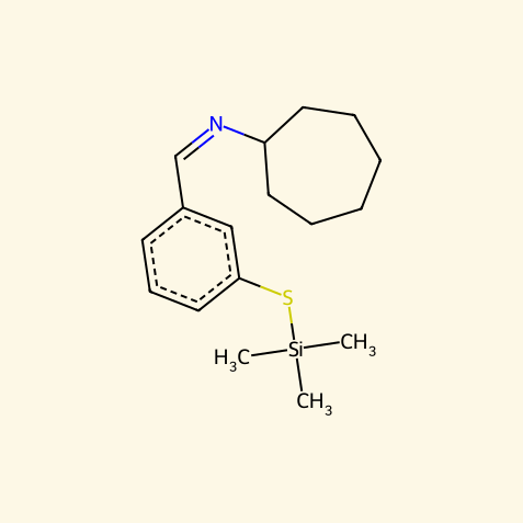 C[Si](C)(C)Sc1cccc(/C=N\C2CCCCCC2)c1